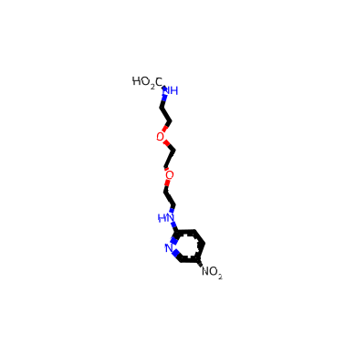 O=C(O)NCCOCCOCCNc1ccc([N+](=O)[O-])cn1